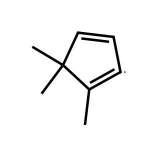 CC1=[C]C=CC1(C)C